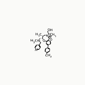 Cc1ccc(-c2ccc3c(c2)O[C@H](CN(C)Cc2ccncc2)[C@H](C)CN(C(C)CO)S3(=O)=O)cc1